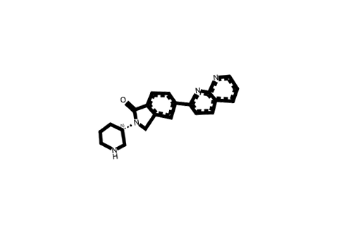 O=C1c2ccc(-c3ccc4cccnc4n3)cc2CN1[C@H]1CCCNC1